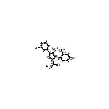 [C-]#[N+]c1c(-c2ccnc(F)c2)sc(C(N)=O)c1-c1ccc(Cl)cc1Cl